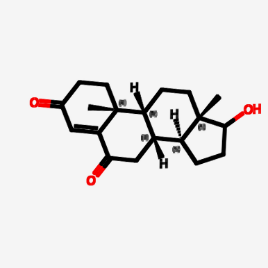 C[C@]12CCC(=O)C=C1C(=O)C[C@@H]1[C@H]2CC[C@]2(C)C(O)CC[C@@H]12